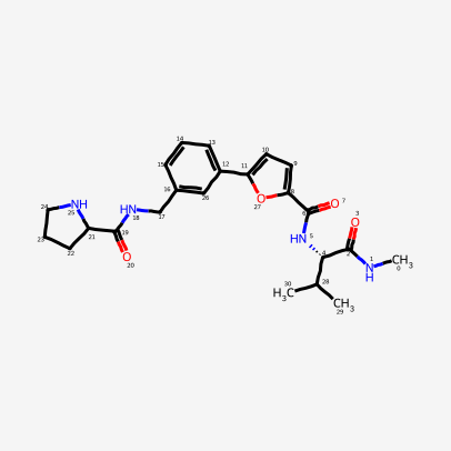 CNC(=O)[C@@H](NC(=O)c1ccc(-c2cccc(CNC(=O)C3CCCN3)c2)o1)C(C)C